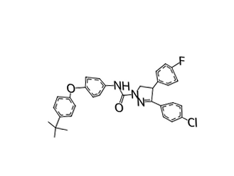 CC(C)(C)c1ccc(Oc2ccc(NC(=O)N3CC(c4ccc(F)cc4)C(c4ccc(Cl)cc4)=N3)cc2)cc1